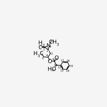 C=C1[C@H](CC(CC)OC(=O)C(O)c2ccccc2)N1C